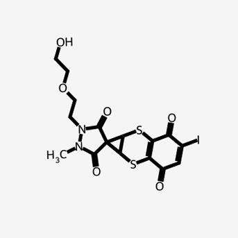 CN1C(=O)C2(C(=O)N1CCOCCO)C1SC3=C(SC12)C(=O)C(I)=CC3=O